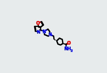 NC(=O)[C@H]1CC[C@H](CCN2CCN(c3nccc4occc34)CC2)CC1